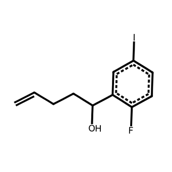 C=CCCC(O)c1cc(I)ccc1F